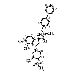 C[C@H]1CN(CCC(C)(C(=O)N(C)Cc2ccc(-c3ccncc3)cc2)c2ccc(Cl)c(Cl)c2)CCN1S(C)(=O)=O